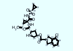 C=C[C@@H]1C[C@]1(NC(=O)[C@@H]1C[C@@H](OC(=O)N2Cc3cccc(Cl)c3C2)CN1)C(=O)NS(=O)(=O)C1CC1